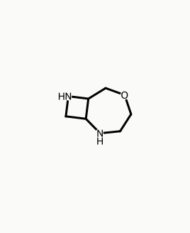 C1COCC2NCC2N1